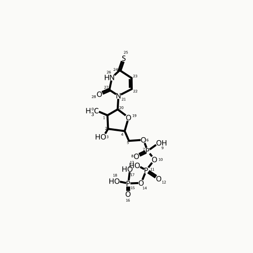 CC1C(O)C(COP(=O)(O)OP(=O)(O)OP(=O)(O)O)OC1n1ccc(=S)[nH]c1=O